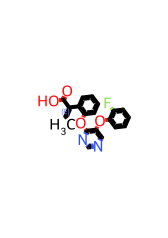 C/C=C(/C(=O)O)c1ccccc1Oc1ncncc1Oc1ccccc1F